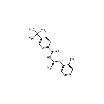 C=C(NC(=O)c1ccc(C(C)(C)C)cc1)Nc1ccccc1C